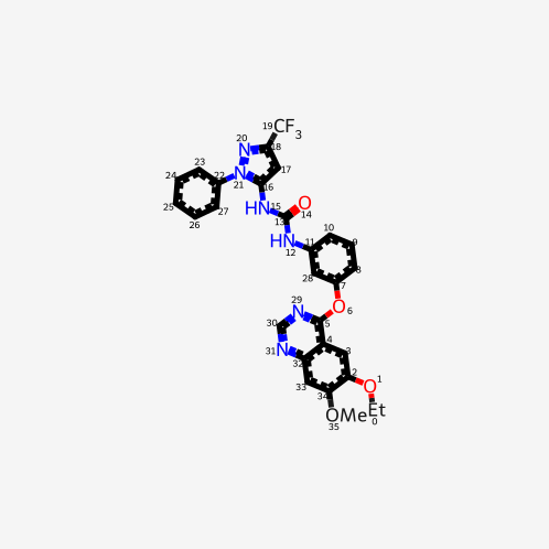 CCOc1cc2c(Oc3cccc(NC(=O)Nc4cc(C(F)(F)F)nn4-c4ccccc4)c3)ncnc2cc1OC